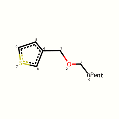 CCCCCCOCc1ccsc1